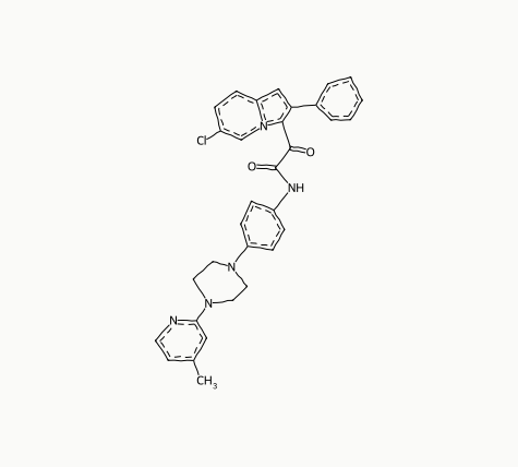 Cc1ccnc(N2CCN(c3ccc(NC(=O)C(=O)c4c(-c5ccccc5)cc5ccc(Cl)cn45)cc3)CC2)c1